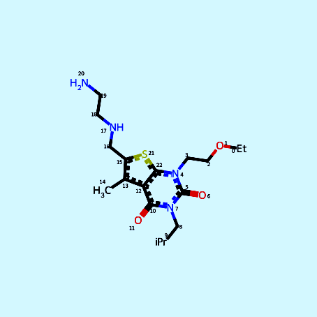 CCOCCn1c(=O)n(CC(C)C)c(=O)c2c(C)c(CNCCN)sc21